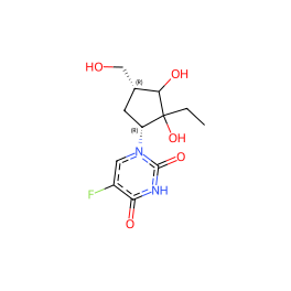 CCC1(O)C(O)[C@@H](CO)C[C@H]1n1cc(F)c(=O)[nH]c1=O